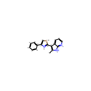 Cc1[nH]c2ncccc2c1-c1nc(-c2ccccc2)cs1